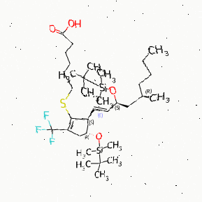 CCCC[C@@H](C)C[C@@H](/C=C/[C@@H]1C(SCCCCCC(=O)O)=C(C(F)(F)F)C[C@H]1O[Si](C)(C)C(C)(C)C)O[Si](C)(C)C(C)(C)C